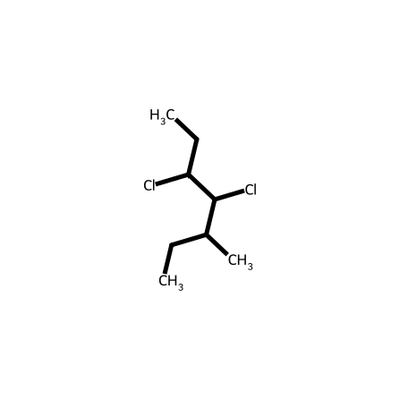 CC[C](Cl)C(Cl)C(C)CC